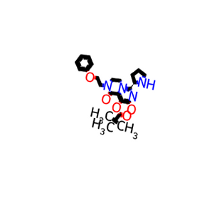 CC(C)(C)C(=O)Oc1c2n(c([C@@H]3CCCN3)nc1=O)CCN(CCOc1ccccc1)C2=O